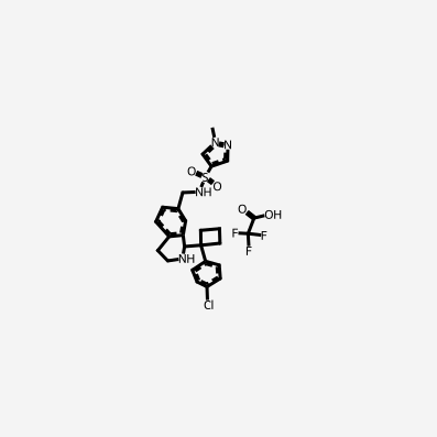 Cn1cc(S(=O)(=O)NCc2ccc3c(c2)C(C2(c4ccc(Cl)cc4)CCC2)NCC3)cn1.O=C(O)C(F)(F)F